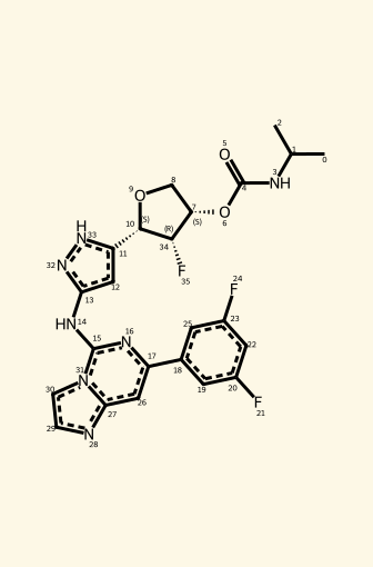 CC(C)NC(=O)O[C@H]1CO[C@@H](c2cc(Nc3nc(-c4cc(F)cc(F)c4)cc4nccn34)n[nH]2)[C@H]1F